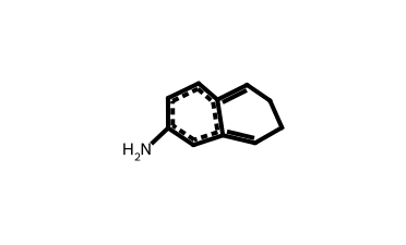 Nc1ccc2c(c1)=CCCC=2